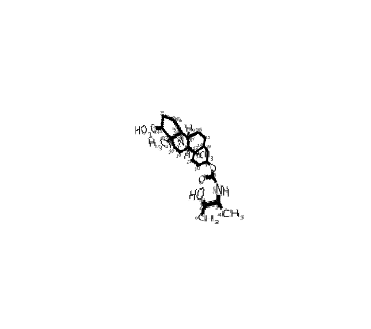 CC(O)C(C)NC(=O)OC1CC[C@@]2(C)C(CC[C@@H]3[C@H]2CC[C@]2(C)C(C(=O)O)CC[C@@]32N)C1